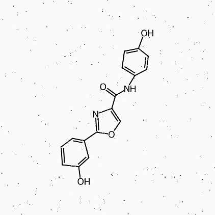 O=C(Nc1ccc(O)cc1)c1coc(-c2cccc(O)c2)n1